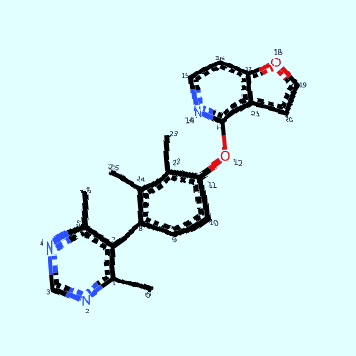 Cc1ncnc(C)c1-c1ccc(Oc2nccc3occc23)c(C)c1C